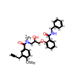 C#CCc1cc(C(=O)N(CCC)CC(O)COc2ccccc2C(=O)NCc2ccccc2)ccc1OC